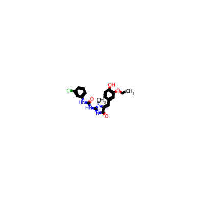 CCOc1cc(/C=C2/C(=O)N=C(NC(=O)Nc3cccc(Cl)c3)N2C)ccc1O